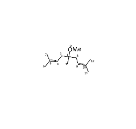 COC(C)(CC=C(C)C)CC=C(C)C